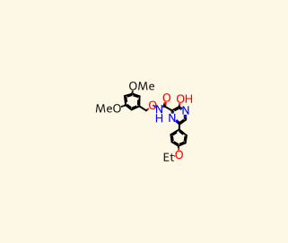 CCOc1ccc(-c2cnc(O)c(C(=O)NOCc3cc(OC)cc(OC)c3)n2)cc1